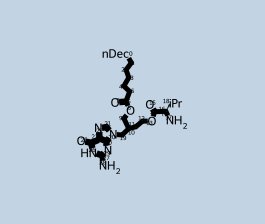 CCCCCCCCCCCCCCCC(=O)OCC(CCOC(=O)[C@@H](N)C(C)C)Cn1cnc2c(=O)[nH]c(N)nc21